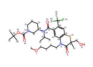 COCCCCN1C(=O)C(C)(CO)Sc2cc(C(F)(F)F)c(C(=O)N(C(C)C)[C@@H]3CCCN(C(=O)OC(C)(C)C)C3)cc21